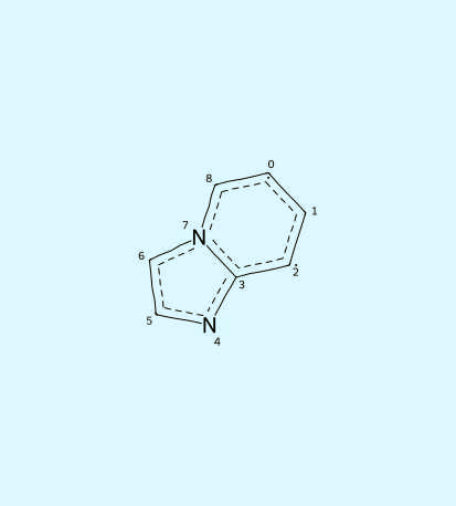 [c]1c[c]c2nccn2c1